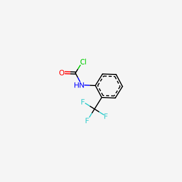 O=C(Cl)Nc1ccccc1C(F)(F)F